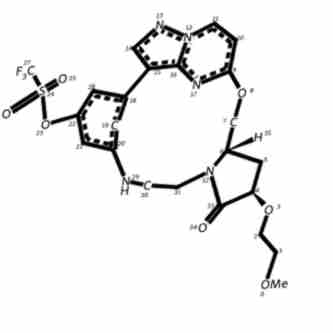 COCCO[C@@H]1C[C@H]2COc3ccn4ncc(c4n3)-c3cc(cc(OS(=O)(=O)C(F)(F)F)c3)NCCN2C1=O